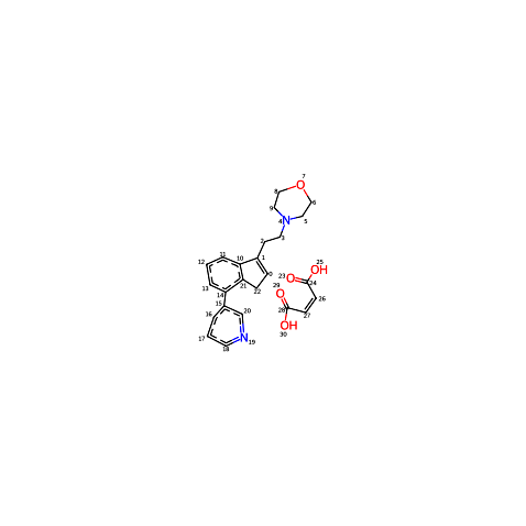 C1=C(CCN2CCOCC2)c2cccc(-c3cccnc3)c2C1.O=C(O)/C=C\C(=O)O